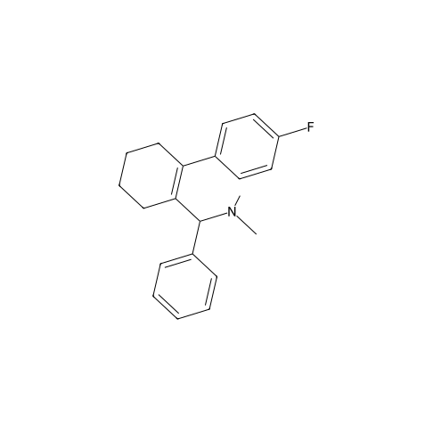 CN(C)C(C1=C(c2ccc(F)cc2)CCCC1)c1ccccc1